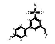 CS(=O)(=O)c1cc(C[O])cc(-c2ccc(F)cc2)c1